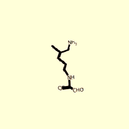 CC(CN)CCCNC(=O)C=O